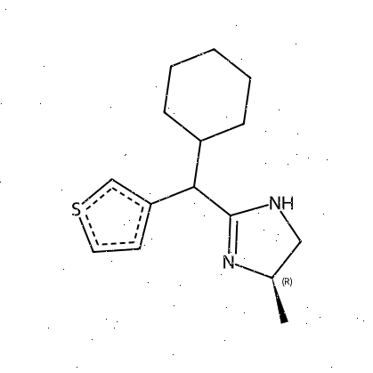 C[C@@H]1CNC(C(c2ccsc2)C2CCCCC2)=N1